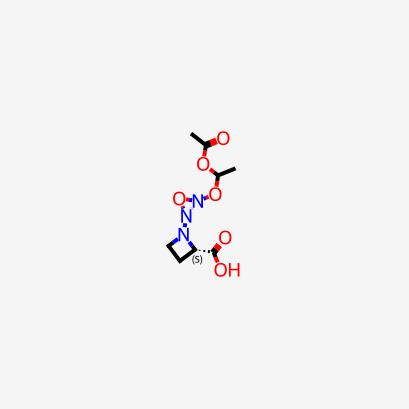 CC(=O)OC(C)On1on1N1CC[C@H]1C(=O)O